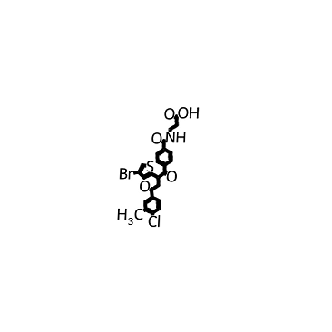 Cc1cc(C(=O)CC(C(=O)c2ccc(C(=O)NCCC(=O)O)cc2)c2cc(Br)cs2)ccc1Cl